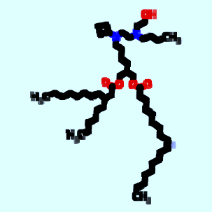 CCCCCCCC/C=C\CCCCCCCC(=O)OCC(CCCCN(CCN(CCO)CCCC)C1CCC1)COC(=O)CC(CCCCCC)CCCCCCCC